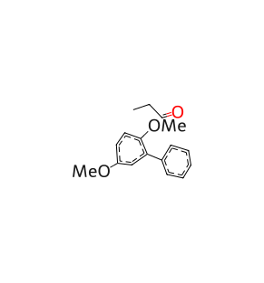 CCC=O.COc1ccc(OC)c(-c2ccccc2)c1